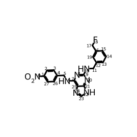 O=[N+]([O-])c1ccc(CNc2nc(NCc3cccc(CF)c3)nc3[nH]cnc23)cc1